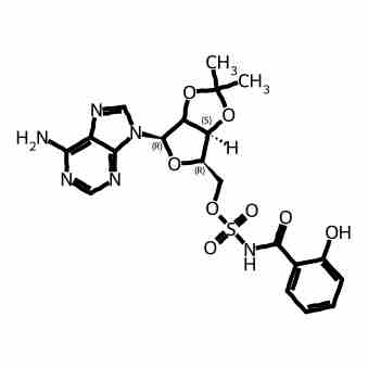 CC1(C)OC2[C@@H](O1)[C@@H](COS(=O)(=O)NC(=O)c1ccccc1O)O[C@H]2n1cnc2c(N)ncnc21